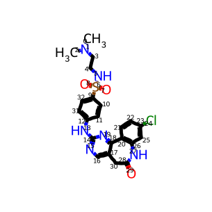 CN(C)CCNS(=O)(=O)c1ccc(Nc2ncc3c(n2)-c2ccc(Cl)cc2NC(=O)C3)cc1